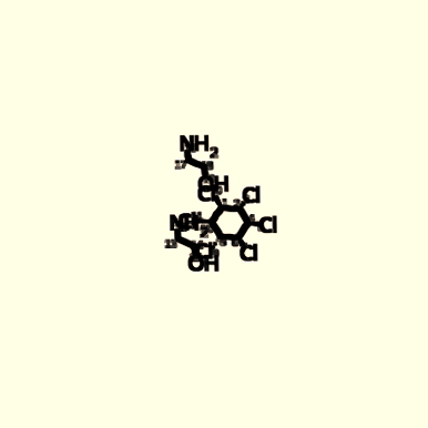 Cl[C@H]1[C@H](Cl)[C@@H](Cl)[C@@H](Cl)[C@H](Cl)[C@H]1Cl.NCCO.NCCO